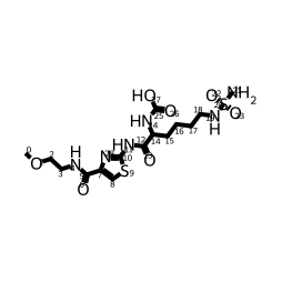 COCCNC(=O)c1csc(NC(=O)C(CCCCNS(N)(=O)=O)NC(=O)O)n1